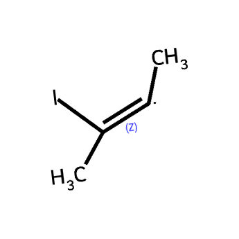 C/[C]=C(/C)I